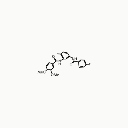 COc1ccc(C(=O)Nc2cc(NC(=O)c3ccc(F)cc3)ccc2C)cc1OC